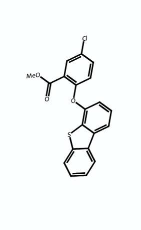 COC(=O)c1cc(Cl)ccc1Oc1cccc2c1sc1ccccc12